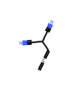 C=C=CC(C#N)C#N